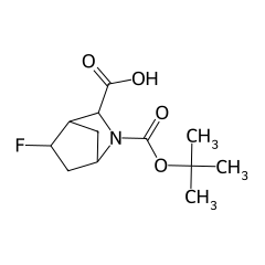 CC(C)(C)OC(=O)N1C2CC(F)C(C2)C1C(=O)O